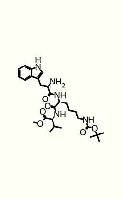 COC(=O)[C@@H](NC(=O)[C@H](CCCCNC(=O)OC(C)(C)C)NC(=O)[C@H](N)Cc1c[nH]c2ccccc12)C(C)C